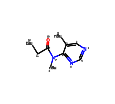 CCCCc1cncnc1N(CCCC)C(=O)CC(C)(C)C